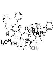 CCC=Cc1nc(N(C)C)c2c(c1OCc1ccccc1)C(=O)C1=C(O)[C@]3(O[Si](C)(C)C(C)(C)C)C(=O)c4c(OCc5ccccc5)noc4[C@@H](N(C)C)[C@@H]3C[C@@H]1C2